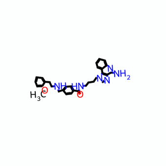 COc1ccccc1CCNCc1ccc(C(=O)NCCCCn2cnc3c(N)nc4ccccc4c32)cc1